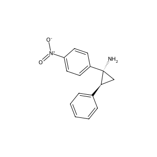 N[C@]1(c2ccc([N+](=O)[O-])cc2)C[C@H]1c1ccccc1